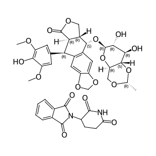 COc1cc([C@@H]2c3cc4c(cc3[C@@H](O[C@@H]3O[C@@H]5CO[C@@H](C)O[C@H]5[C@H](O)[C@H]3O)[C@H]3COC(=O)[C@H]23)OCO4)cc(OC)c1O.O=C1CCC(N2C(=O)c3ccccc3C2=O)C(=O)N1